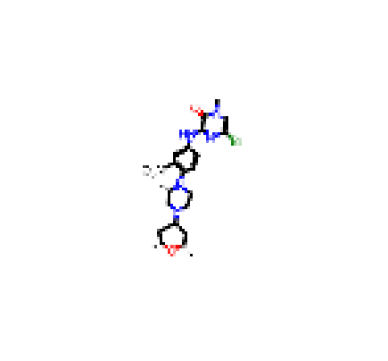 C[C@@H]1CC(N2CCN(c3ccc(Nc4nc(Br)cn(C)c4=O)cc3[N+](=O)[O-])[C@@H](C)C2)C[C@H](C)O1